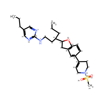 CCCc1cnc(NCCC(CCC)C2Cc3cc(C4=CCN(S(C)(=O)=O)CC4)ccc3O2)nc1